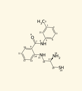 Cc1cccc(NC(=O)c2ccccc2NC[C@@H](N)CS)c1